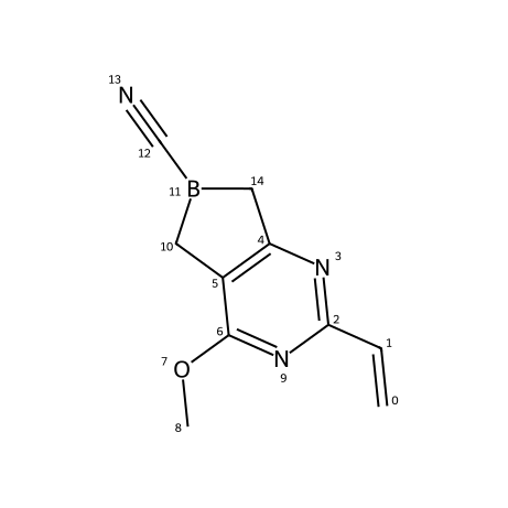 C=Cc1nc2c(c(OC)n1)CB(C#N)C2